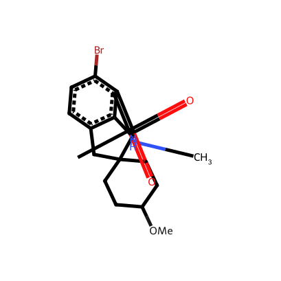 COC1CCC2(CC1)Cc1ccc(Br)cc1C21NC(=O)N(C)C1=O